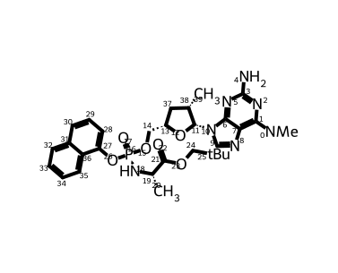 CNc1nc(N)nc2c1ncn2[C@@H]1O[C@H](CO[P@@](=O)(N[C@@H](C)C(=O)OCC(C)(C)C)Oc2cccc3ccccc23)C[C@@H]1C